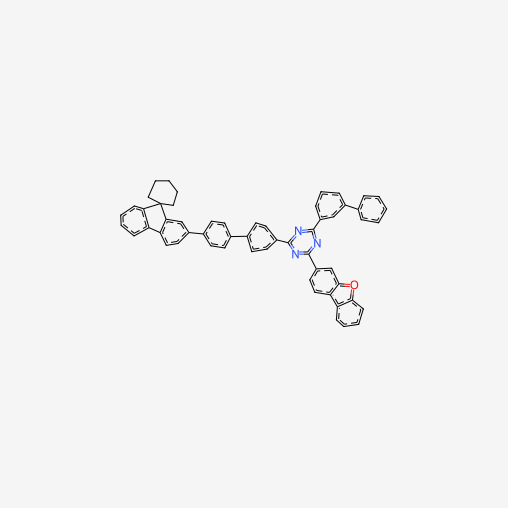 c1ccc(-c2cccc(-c3nc(-c4ccc(-c5ccc(-c6ccc7c(c6)C6(CCCCC6)c6ccccc6-7)cc5)cc4)nc(-c4ccc5c(c4)oc4ccccc45)n3)c2)cc1